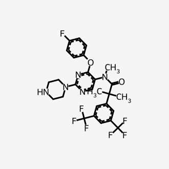 CN(C(=O)C(C)(C)c1cc(C(F)(F)F)cc(C(F)(F)F)c1)c1cnc(N2CCNCC2)nc1Oc1ccc(F)cc1